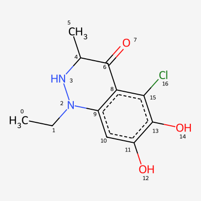 CCN1NC(C)C(=O)c2c1cc(O)c(O)c2Cl